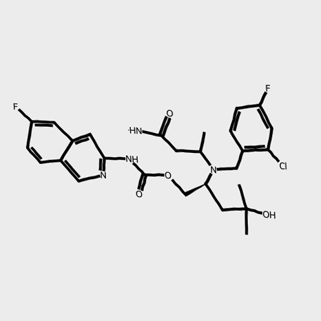 CC(CC([NH])=O)N(Cc1ccc(F)cc1Cl)[C@H](COC(=O)Nc1cc2cc(F)ccc2cn1)CC(C)(C)O